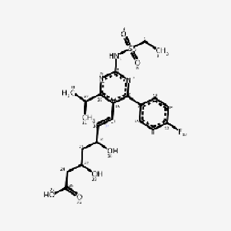 CCS(=O)(=O)Nc1nc(-c2ccc(F)cc2)c(/C=C/C(O)CC(O)CC(=O)O)c(C(C)C)n1